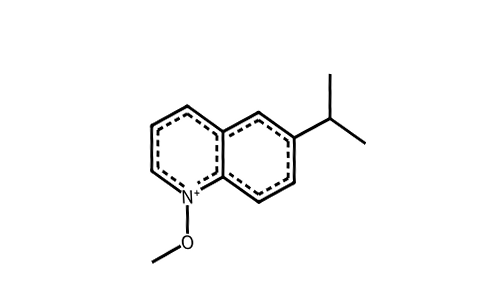 CO[n+]1cccc2cc(C(C)C)ccc21